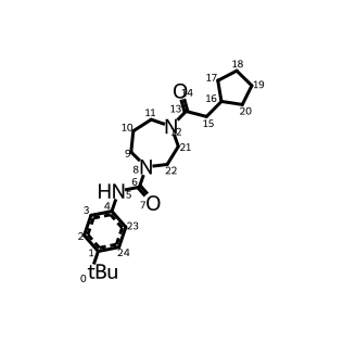 CC(C)(C)c1ccc(NC(=O)N2CCCN(C(=O)CC3CCCC3)CC2)cc1